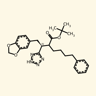 CC(C)(C)OC(=O)C(CCCCc1ccccc1)[C@H](Cc1ccc2c(c1)OCO2)c1nn[nH]n1